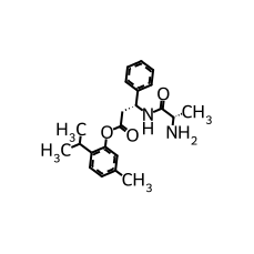 Cc1ccc(C(C)C)c(OC(=O)C[C@@H](NC(=O)[C@H](C)N)c2ccccc2)c1